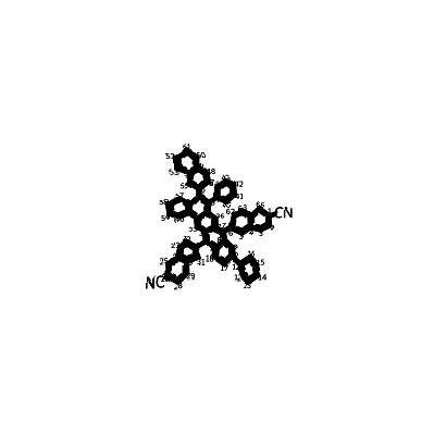 N#Cc1ccc2cc(-c3c4cc(-c5ccccc5)ccc4c(-c4ccc5cc(C#N)ccc5c4)c4cc5c(cc34)c(-c3ccccc3)c(-c3ccc4ccccc4c3)c3ccccc35)ccc2c1